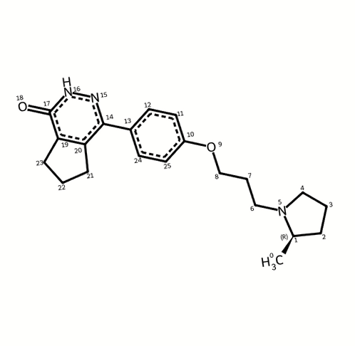 C[C@@H]1CCCN1CCCOc1ccc(-c2n[nH]c(=O)c3c2CCC3)cc1